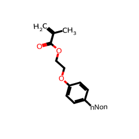 C=C(C)C(=O)OCCOc1ccc(CCCCCCCCC)cc1